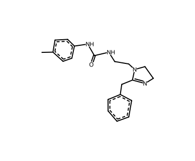 Cc1ccc(NC(=O)NCCN2CCN=C2Cc2ccccc2)cc1